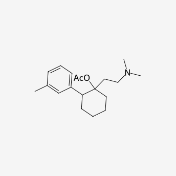 CC(=O)OC1(CCN(C)C)CCCCC1c1cccc(C)c1